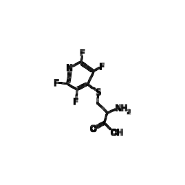 NC(CSc1c(F)c(F)nc(F)c1F)C(=O)O